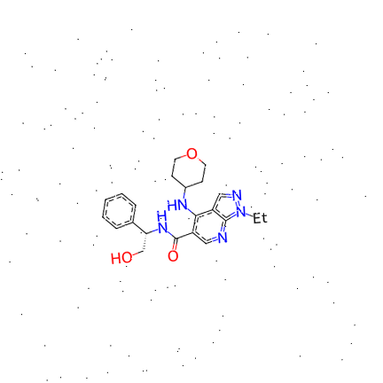 CCn1ncc2c(NC3CCOCC3)c(C(=O)N[C@H](CO)c3ccccc3)cnc21